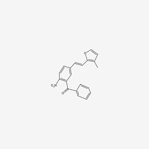 Cc1ccoc1C=Cc1ccc([N+](=O)[O-])c(C(=O)c2ccccc2)c1